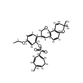 CCOc1ccc(C2=Cc3ccc4c(c3OC2)C=CC(C)(C)O4)c(OS(=O)(=O)C2=CCC=C(C)C=C2)c1